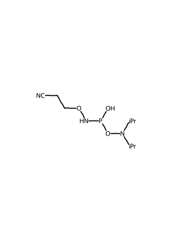 CC(C)N(OP(O)NOCCC#N)C(C)C